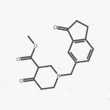 COC(=O)C1CN(Cc2ccc3c(c2)C(=O)CC3)CCC1=O